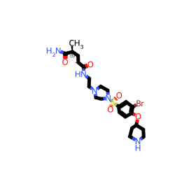 C[C@@H](C[CH]C(=O)NCCN1CCN(S(=O)(=O)c2ccc(OC3CCNCC3)c(Br)c2)CC1)C(N)=O